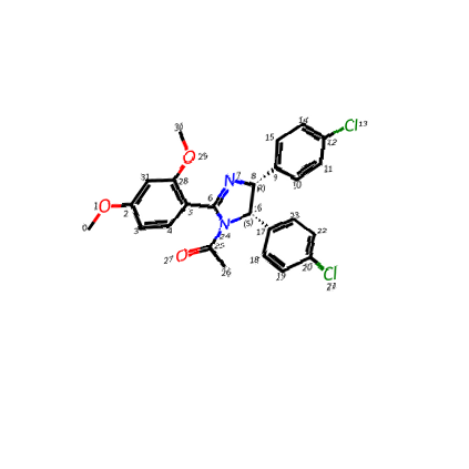 COc1ccc(C2=N[C@H](c3ccc(Cl)cc3)[C@H](c3ccc(Cl)cc3)N2C(C)=O)c(OC)c1